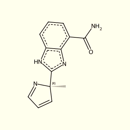 C[C@]1(c2nc3c(C(N)=O)cccc3[nH]2)C=CC=N1